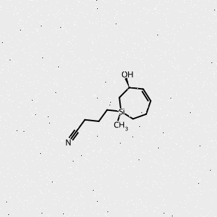 C[Si]1(CCCC#N)CCC=C[C@H](O)C1